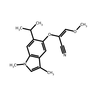 CO/C=C(\C#N)Oc1cc2c(C)cn(C)c2cc1C(C)C